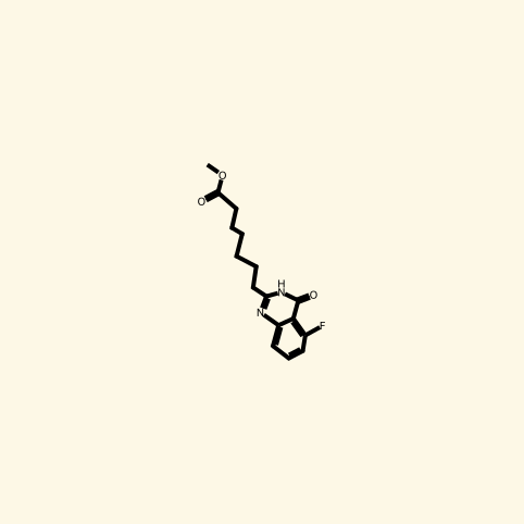 COC(=O)CCCCCCc1nc2cccc(F)c2c(=O)[nH]1